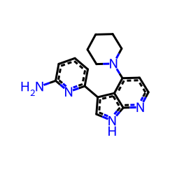 Nc1cccc(-c2c[nH]c3nccc(N4CCCCC4)c23)n1